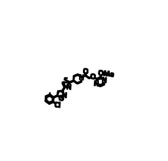 COc1nccnc1OCC(=O)N1CCC(c2nc(C3=NOC(c4[c]cccc4Cl)C3)cs2)CC1